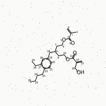 C=C(C)C(=O)OCCC(CCOC(=O)C(=C)CO)Cc1ccc(CCCC)c(CC)c1